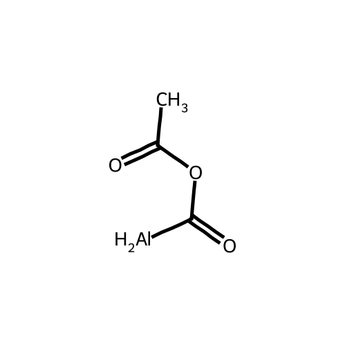 CC(=O)O[C](=O)[AlH2]